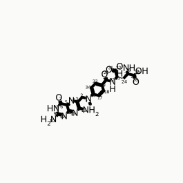 CN(Cc1nc2c(=O)[nH]c(N)nc2nc1N)c1ccc(C(=O)N[C@@H](CC(N)C(=O)O)C(=O)O)cc1